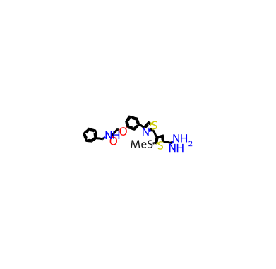 CSc1sc(C(=N)N)cc1-c1nc(-c2cccc(OCC(=O)NCc3ccccc3)c2)cs1